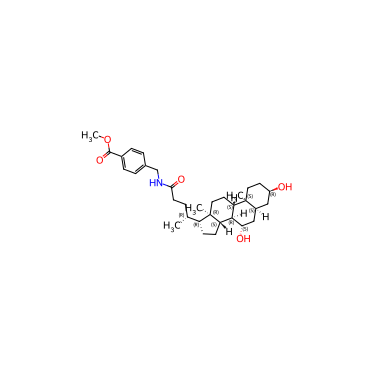 COC(=O)c1ccc(CNC(=O)CC[C@@H](C)[C@H]2CC[C@H]3[C@@H]4[C@@H](O)C[C@@H]5C[C@H](O)CC[C@]5(C)[C@H]4CC[C@]23C)cc1